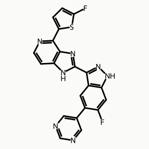 Fc1ccc(-c2nccc3[nH]c(-c4n[nH]c5cc(F)c(-c6cncnc6)cc45)nc23)s1